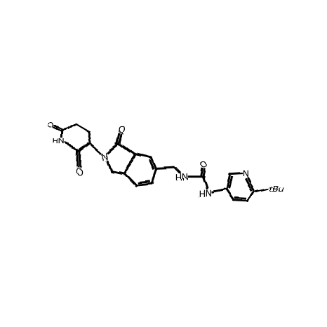 CC(C)(C)c1ccc(NC(=O)NCC2=CC3C(=O)N(C4CCC(=O)NC4=O)CC3C=C2)cn1